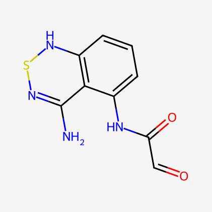 NC1=NSNc2cccc(NC(=O)C=O)c21